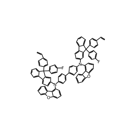 C=Cc1ccc(C2(c3ccc(F)cc3)c3ccccc3-c3ccc(N(c4ccc(-c5ccc(N(c6ccc7c(c6)C(c6ccc(F)cc6)(c6ccc(C=C)cc6)c6ccccc6-7)c6cccc7oc8ccccc8c67)cc5)cc4)c4cccc5oc6ccccc6c45)cc32)cc1